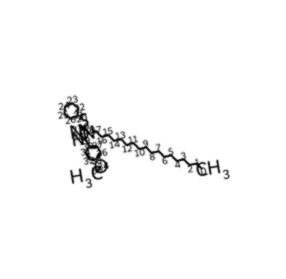 CCCCCCCCCCCCCCCCCCn1c(SC2CCCCC2)nnc1-c1ccc(OC)cc1